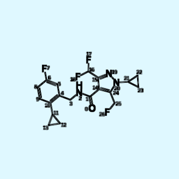 O=C(NCc1cc(F)ccc1C1CC1)c1c(C(F)F)nn(C2CC2)c1CF